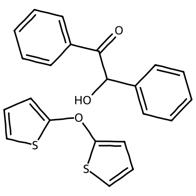 O=C(c1ccccc1)C(O)c1ccccc1.c1csc(Oc2cccs2)c1